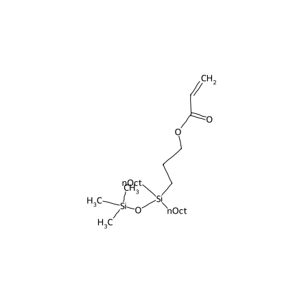 C=CC(=O)OCCC[Si](CCCCCCCC)(CCCCCCCC)O[Si](C)(C)C